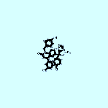 Cn1cnnc1C(O)(c1ccc(Cl)cc1)c1ccc2c(c1)c(-c1cccc(Cl)c1)cc(=O)n2Cc1ccc(C#N)cc1